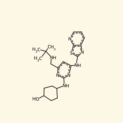 CC(C)(C)NCc1cc(Nc2nc3cccnc3s2)nc(NC2CCC(O)CC2)n1